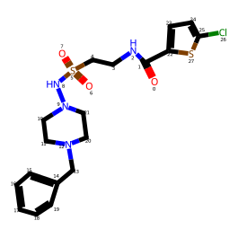 O=C(NCCS(=O)(=O)NN1CCN(Cc2ccccc2)CC1)c1ccc(Cl)s1